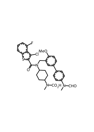 COc1ccc(-c2ccc(N(C)C=O)cc2)cc1CN(C(=O)c1sc2cccc(F)c2c1Cl)C1CCC(N(C)C(=O)O)CC1